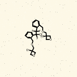 CCC1(COCc2ccccc2C(F)(F)C(F)(c2ccccc2COCC2(CC)COC2)C(F)(F)F)COC1